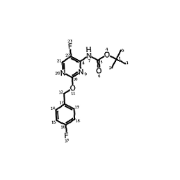 CC(C)(C)OC(=O)Nc1nc(OCc2ccc(F)cc2)ncc1F